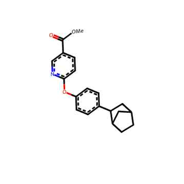 COC(=O)c1ccc(Oc2ccc(C3CC4CCC3C4)cc2)nc1